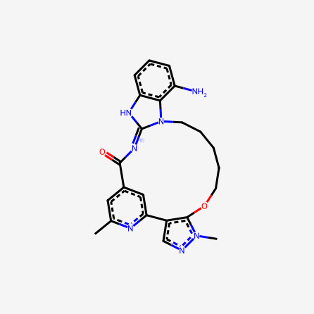 Cc1cc2cc(n1)-c1cnn(C)c1OCCCCCN1/C(=N/C2=O)Nc2cccc(N)c21